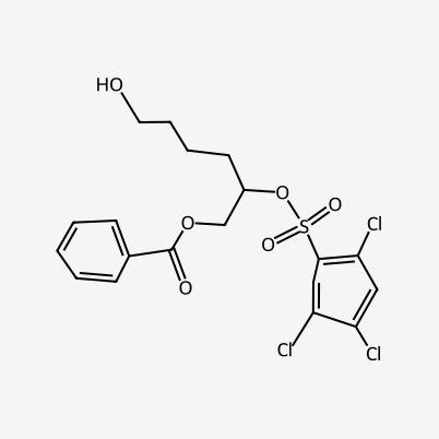 O=C(OCC(CCCCO)OS(=O)(=O)c1cc(Cl)c(Cl)cc1Cl)c1ccccc1